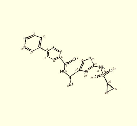 CCC(NC(=O)c1ccc(-c2cccnc2)cc1)c1csc(NS(=O)(=O)C2CC2)n1